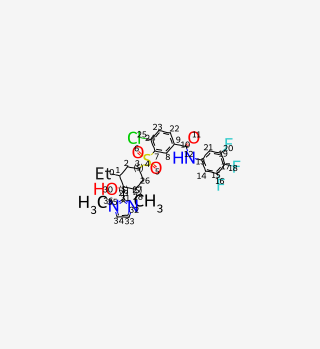 CCC1C[C@@H](S(=O)(=O)c2cc(C(=O)Nc3cc(F)c(F)c(F)c3)ccc2Cl)C[C@H](C)[C@@]1(O)c1nccn1C